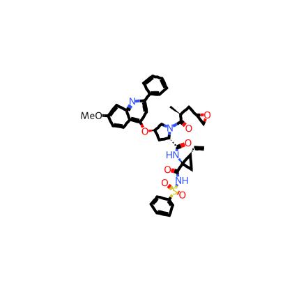 C=C[C@@H]1C[C@]1(NC(=O)[C@@H]1C[C@@H](Oc2cc(-c3ccccc3)nc3cc(OC)ccc23)CN1C(=O)[C@@H](C)CC1CO1)C(=O)NS(=O)(=O)c1ccccc1